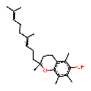 CC(C)=CCC/C(C)=C/CC[C@]1(C)CCc2c(C)c(O)c(C)c(C)c2O1